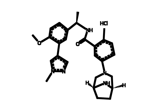 COc1ccc([C@@H](C)NC(=O)c2cc(N3C[C@H]4CC[C@@H](C3)N4)ccc2C)cc1-c1cnn(C)c1.Cl